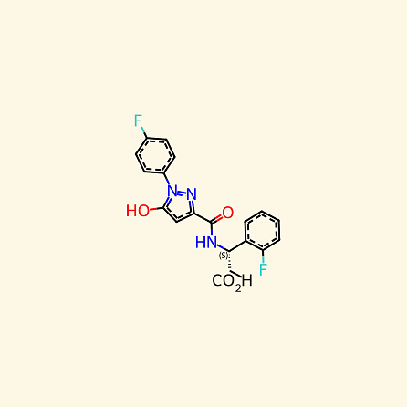 O=C(O)C[C@H](NC(=O)c1cc(O)n(-c2ccc(F)cc2)n1)c1ccccc1F